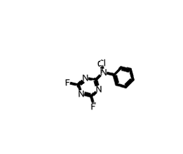 Fc1nc(F)nc(N(Cl)c2ccccc2)n1